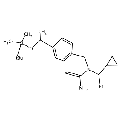 CCC(C1CC1)N(Cc1ccc(C(C)O[Si](C)(C)C(C)(C)C)cc1)C(N)=S